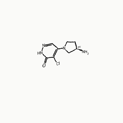 N[C@@H]1CCN(c2cn[nH]c(=O)c2Cl)C1